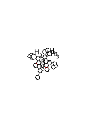 CC(C)(C)c1cc2c3c(c1)-c1cc4c(c5ccc6c(c15)B3c1c(ccc3c5c(cc-2c13)C1CC2CC3CC5CC23C1)N6c1c(-c2ccccc2)cc(-c2ccccc2)cc1-c1ccccc1)C1CC2CC3CC4CC32C1